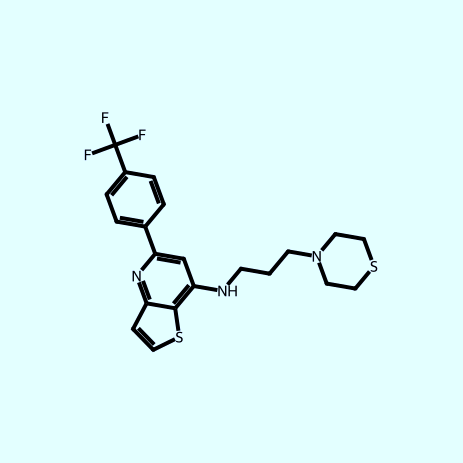 FC(F)(F)c1ccc(-c2cc(NCCCN3CCSCC3)c3sccc3n2)cc1